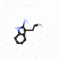 C=CCc1c(N)[nH]c2ccccc12